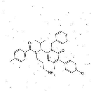 Cc1ccc(C(=O)N(CCCN)C(c2nc(C)c(-c3ccc(Cl)cc3)c(=O)n2Cc2ccccc2)C(C)C)cc1